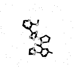 COc1ncccc1-c1noc([C@@H]2CCCN2C(=O)c2cc(C)ccc2-n2nccn2)n1